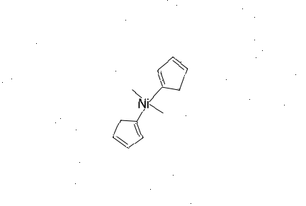 [CH3][Ni]([CH3])([C]1=CC=CC1)[C]1=CC=CC1